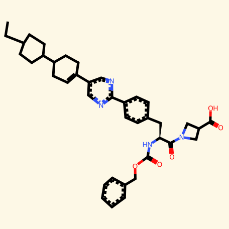 CCC1CCC(C2CC=C(c3cnc(-c4ccc(C[C@H](NC(=O)OCc5ccccc5)C(=O)N5CC(C(=O)O)C5)cc4)nc3)CC2)CC1